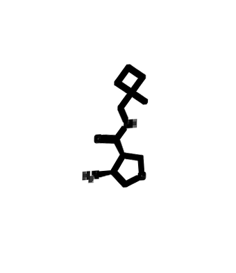 CC1(CNC(=O)[C@H]2COC[C@H]2N)CCC1